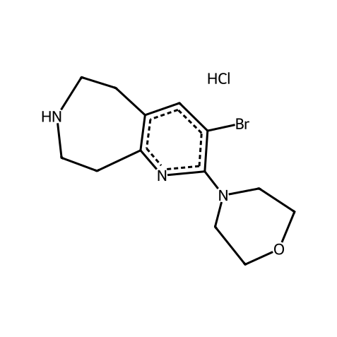 Brc1cc2c(nc1N1CCOCC1)CCNCC2.Cl